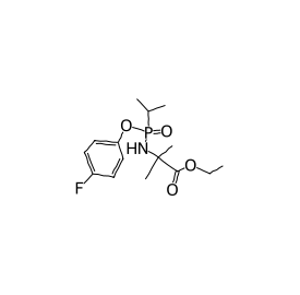 CCOC(=O)C(C)(C)NP(=O)(Oc1ccc(F)cc1)C(C)C